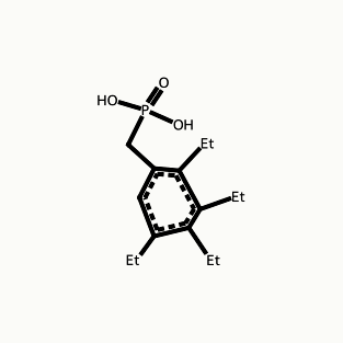 CCc1cc(CP(=O)(O)O)c(CC)c(CC)c1CC